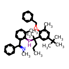 CCCC(C)(Pc1c(C)cccc1/C(=N/C)c1ccccc1)c1cc(C(C)(C)C)cc(C)c1OCc1ccccc1